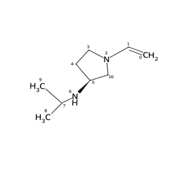 C=CN1CC[C@H](NC(C)C)C1